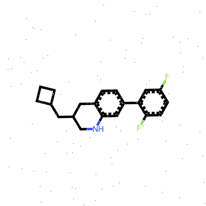 Fc1ccc(F)c(-c2ccc3c(c2)NCC(CC2CCC2)C3)c1